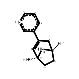 C1=C(c2cccnc2)C[C@H]2CC[C@@H]1N2